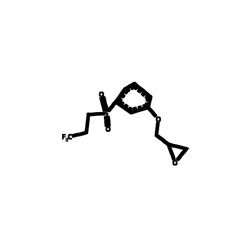 O=S(=O)(CCC(F)(F)F)c1cccc(OCC2CO2)c1